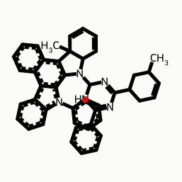 CC1C=CCC(C2=NC(N3c4c(c5ccccc5c5c6ccccc6n(-c6ccccc6)c45)C4(C)C=CC=CC34)NC(c3ccccc3)=N2)C1